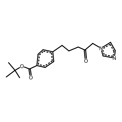 CC(C)(C)OC(=O)c1ccc(CCCC(=O)Cn2ccnc2)cc1